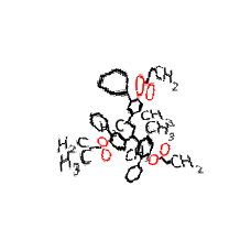 C=CC(=O)Oc1cc(C)c(C(C)CC(c2cc(C3CCCCC3)c(OC(=O)C=C)cc2C)c2cc(C3CCCCC3)c(OC(=O)C(=C)C)cc2C)cc1C1CCCCC1